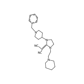 N#CC(C#N)=C1N(CCN2CCCCC2)CCN1C1CCN(Cc2ccccc2)CC1